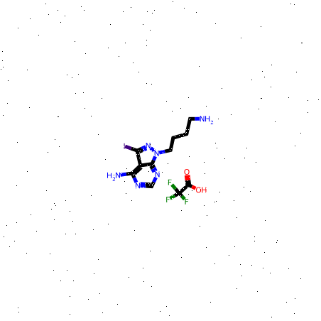 NCCCCn1nc(I)c2c(N)ncnc21.O=C(O)C(F)(F)F